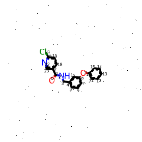 O=C(NCc1cccc(Oc2ccccc2)c1)c1ccc(Cl)nc1